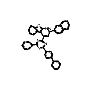 C1=C(c2nc(-c3ccccc3)nc(-c3ccc(-c4ccccc4)cc3)n2)c2c(oc3ccccc23)NC1c1ccc2ccccc2c1